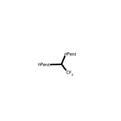 CCCCCC(CCCCC)C(F)(F)F